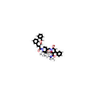 CN(C)C(=O)c1cn(CC2(O)CCN(C(=O)[C@H](COCc3ccccc3)CC3CCCCC3)CC2(C)C)c(=O)cc1-c1ccccc1